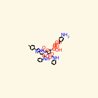 Cc1ccc(-c2cn3c(=O)n([C@@H]4O[C@H](COP(=O)(O)OP(=O)(O)Cc5ccc(N)cc5)C(OC(=O)Nc5ccccc5)[C@@H]4OC(=O)Nc4ccccc4)ccc3n2)cc1